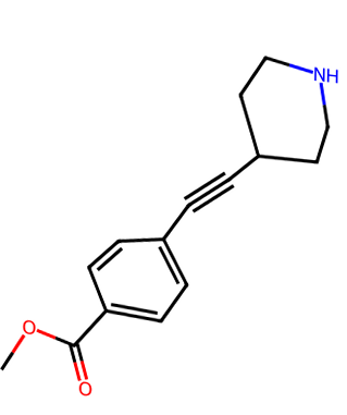 COC(=O)c1ccc(C#CC2CCNCC2)cc1